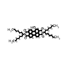 CCCCCCC(CCCCCC)N1C(=O)c2ccc3c4ccc5c6c(cc(O)c(c7ccc(c2c37)C1=O)c64)C(=O)N(C(CCCCCC)CCCCCC)C5=O